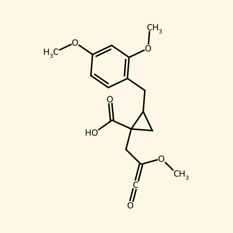 COC(=C=O)CC1(C(=O)O)CC1Cc1ccc(OC)cc1OC